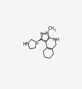 Cn1nc([C@H]2CCNC2)c2c1NCC1=C2CCCC1